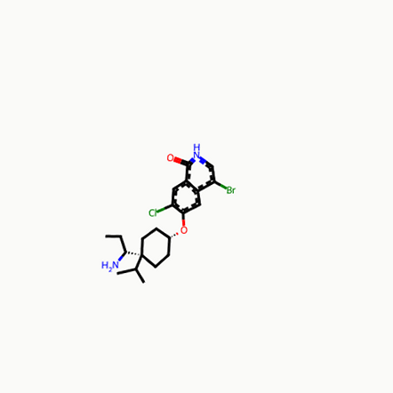 CCC(N)[C@]1(C(C)C)CC[C@H](Oc2cc3c(Br)c[nH]c(=O)c3cc2Cl)CC1